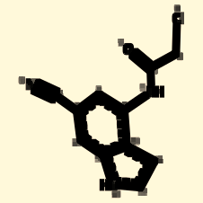 N#Cc1cc(NC(=O)CCl)c2cc[nH]c2c1